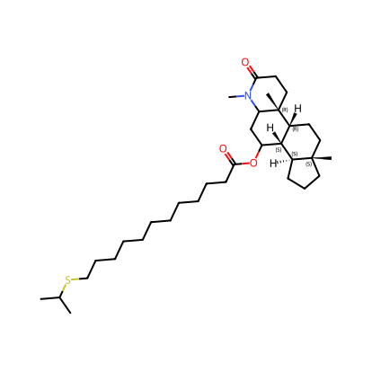 CC(C)SCCCCCCCCCCCC(=O)OC1CC2N(C)C(=O)CC[C@]2(C)[C@@H]2CC[C@]3(C)CCC[C@H]3[C@H]12